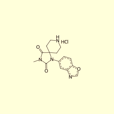 CN1C(=O)N(c2ccc3ocnc3c2)C2(CCNCC2)C1=O.Cl